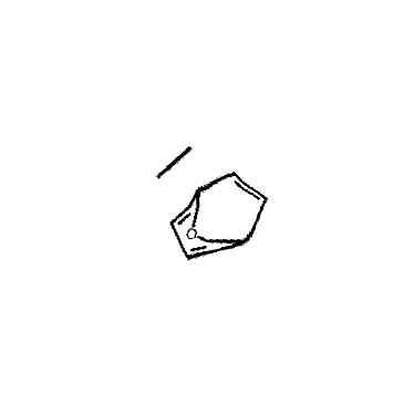 CC.c1cc2ccc1o2